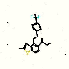 C=C(CC)c1ccc2sc(C)cc2c1CCc1ccc(C(C)(F)F)cc1